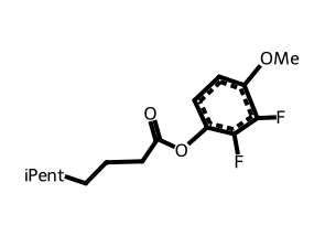 CCCC(C)CCCC(=O)Oc1ccc(OC)c(F)c1F